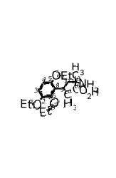 CCOc1ccc(OCC)c(C(C)CC(C)(N)C(=O)O)c1OCC